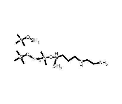 C[Si](C)(C)O[SiH3].C[Si](C)(C)O[SiH3].C[Si](C)(C)O[SiH]([SiH3])CCCNCCN